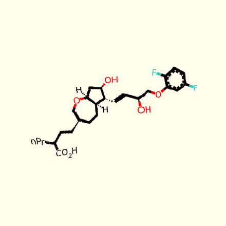 CCCC(CC[C@@H]1CC[C@@H]2[C@@H](/C=C/[C@H](O)COc3cc(F)ccc3F)[C@H](O)C[C@@H]2OC1)C(=O)O